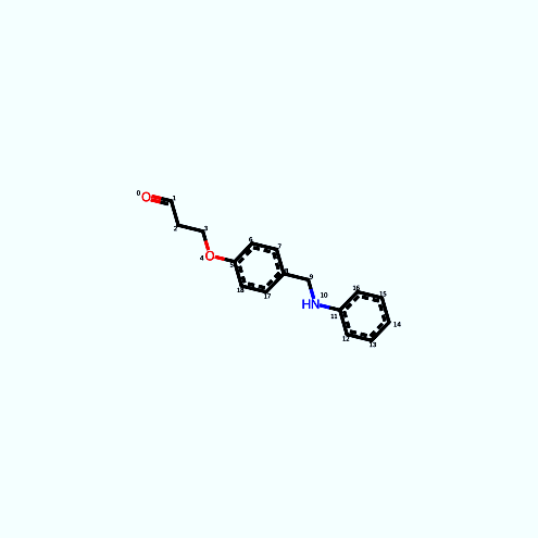 O=CCCOc1ccc(CNc2ccccc2)cc1